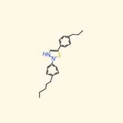 CCCCCc1ccc(N2NC=C(c3ccc(CCC)cc3)S2)cc1